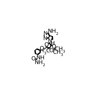 CC1(C)O[C@H]2[C@H](n3ccc4c(N)ncnc43)O[C@H](COc3cccc(NC(N)=O)c3)[C@@]2(C)O1